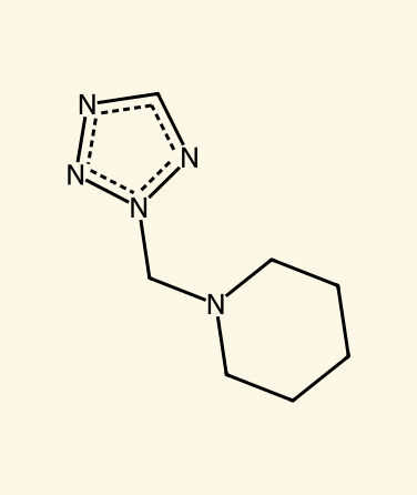 c1nnn(CN2CCCCC2)n1